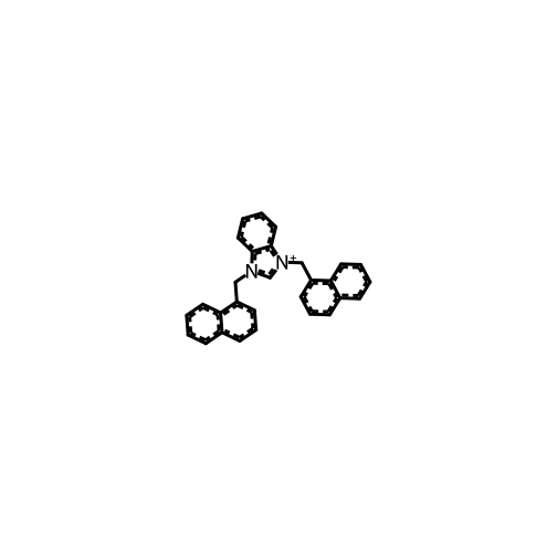 c1ccc2c(Cn3c[n+](Cc4cccc5ccccc45)c4ccccc43)cccc2c1